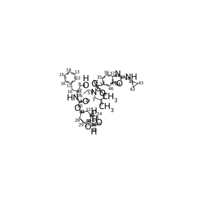 CC(C)CN(CC[C@@](CO)(Cc1ccccc1)NC(=O)O[C@H]1C[C@H]2CO[C@H]3OC1C[C@@H]23)S(=O)(=O)c1ccc2nc(NC3CC3)oc2c1